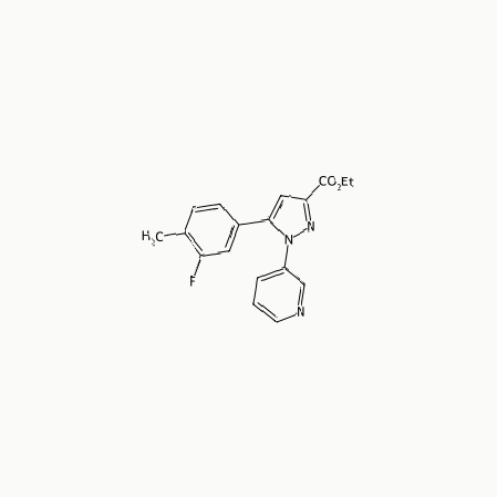 CCOC(=O)c1cc(-c2ccc(C)c(F)c2)n(-c2cccnc2)n1